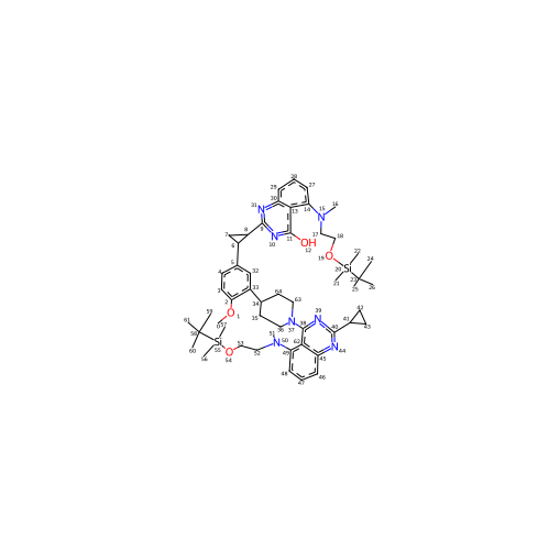 COc1ccc(C2CC2c2nc(O)c3c(N(C)CCO[Si](C)(C)C(C)(C)C)cccc3n2)cc1C1CCN(c2nc(C3CC3)nc3cccc(N(C)CCO[Si](C)(C)C(C)(C)C)c23)CC1